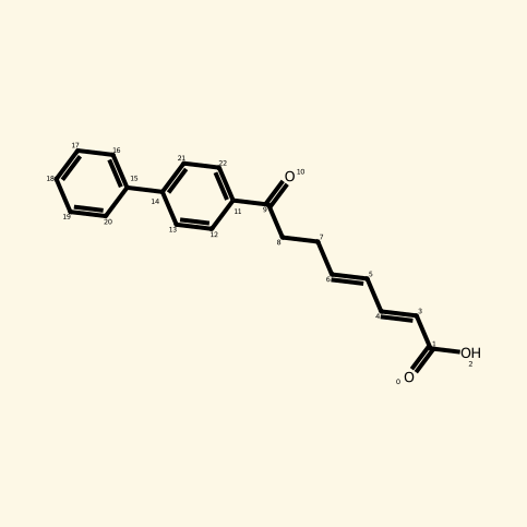 O=C(O)C=CC=CCCC(=O)c1ccc(-c2ccccc2)cc1